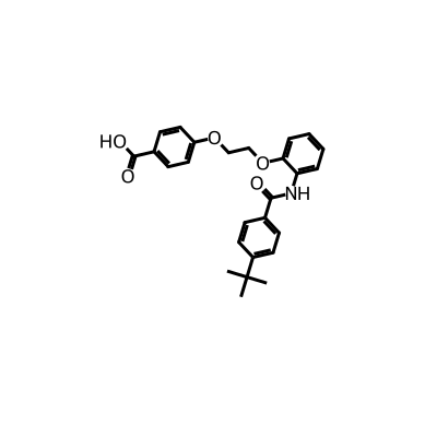 CC(C)(C)c1ccc(C(=O)Nc2ccccc2OCCOc2ccc(C(=O)O)cc2)cc1